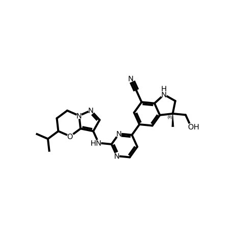 CC(C)C1CCn2ncc(Nc3nccc(-c4cc(C#N)c5c(c4)[C@@](C)(CO)CN5)n3)c2O1